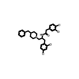 O=C(Cc1ccc(Cl)c(Cl)c1)NC(Cc1ccc(Cl)cc1Cl)CN1CCC(Cc2ccccc2)CC1